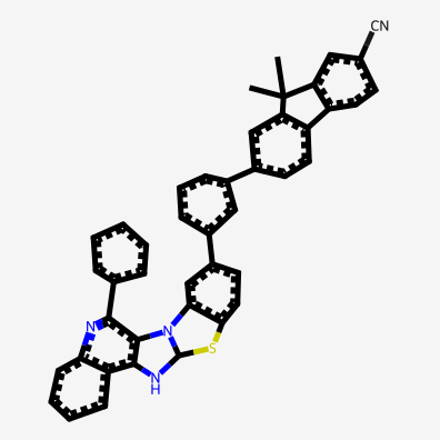 CC1(C)c2cc(C#N)ccc2-c2ccc(-c3cccc(-c4ccc5c(c4)N4c6c(-c7ccccc7)nc7ccccc7c6NC4S5)c3)cc21